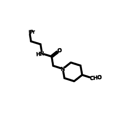 CC(C)CCNC(=O)CN1CCC(C=O)CC1